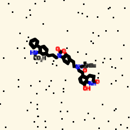 CC(C)(C)[Si](C)(C)OC(CNCCc1ccc2c(c1)oc(=O)n2CCCc1ccc(-c2ccccc2)c(NC(=O)O)c1)c1ccc(O)c2[nH]c(=O)ccc12